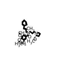 COC[C@H]1CCCN1CCCN(C/C(C)=C/c1ccccc1)C(=O)c1cc(OC)c(OC)c(OC)c1